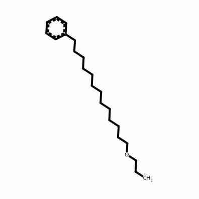 CCCOCCCCCCCCCCCCCc1ccccc1